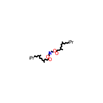 CC(C)CCCC(C)CCCC(C)CCC(=O)OCC[N+](C)(C)CCOC(=O)CCC(C)CCCC(C)CCCC(C)C